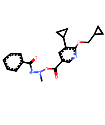 CN(NC(=O)c1ccccc1)OC(=O)c1cnc(OCC2CC2)c(C2CC2)c1